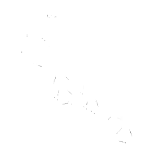 COCCN(CCCOc1ccc2c(Nc3cc(CC(=O)Nc4cccc(F)c4)[nH]n3)ncnc2c1)C(C(OP(=O)(O)O)C(C)(C)C)C(C)(C)C